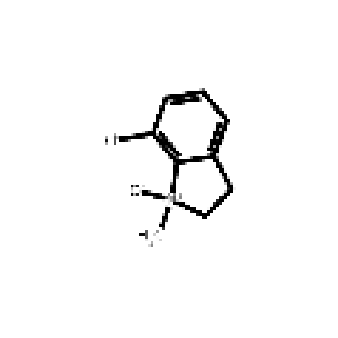 C[N+]1([O-])CCc2cccc(Cl)c21